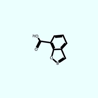 O=C(O)c1cccc2cboc12